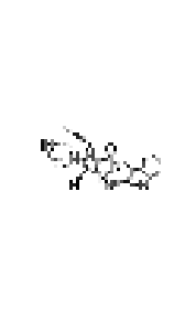 CC#CCn1c(N2CCCNCC2)c(C#N)c2ncn(Cc3c(C#N)cnc4ccccc34)c(=O)c21